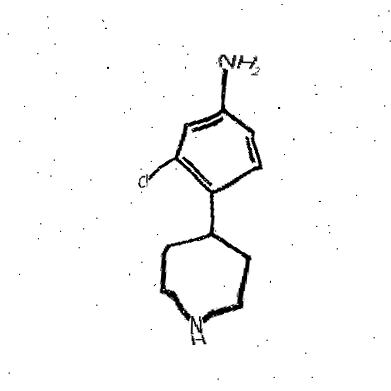 Nc1ccc(C2CCNCC2)c(Cl)c1